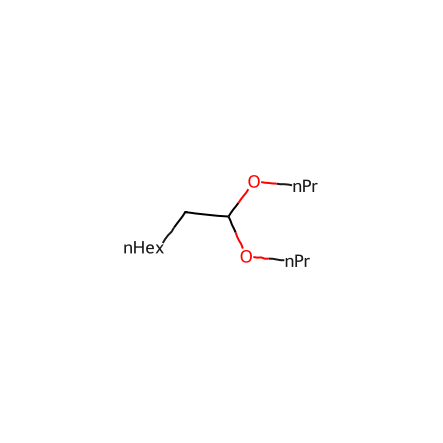 CCCCCCCC(OCCC)OCCC